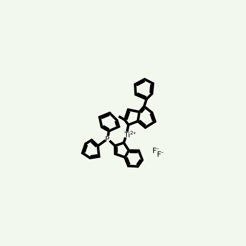 CC1=Cc2c(-c3ccccc3)cccc2[CH]1[Ti+2][CH]1C(P(c2ccccc2)c2ccccc2)=Cc2ccccc21.[F-].[F-]